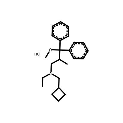 CCN(CC1CCC1)CC(C)C(OC)(c1ccccc1)c1ccccc1.Cl